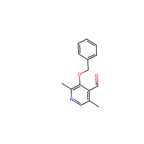 Cc1cnc(C)c(OCc2ccccc2)c1C=O